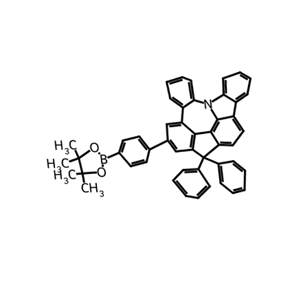 CC1(C)OB(c2ccc(-c3cc4c5c(c3)C(c3ccccc3)(c3ccccc3)c3ccc6c7ccccc7n(c6c3-5)-c3ccccc3-4)cc2)OC1(C)C